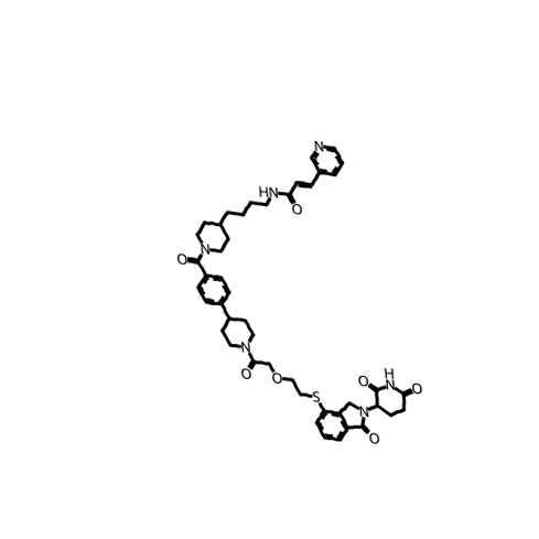 O=C(/C=C/c1cccnc1)NCCCCC1CCN(C(=O)c2ccc(C3CCN(C(=O)COCCSc4cccc5c4CN(C4CCC(=O)NC4=O)C5=O)CC3)cc2)CC1